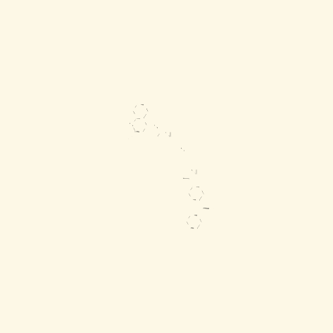 Cc1cc(NC(=O)NCCN2CCC(NC(=O)c3ccc(C(=O)c4ccccc4)cc3)CC2)c2ccccc2n1